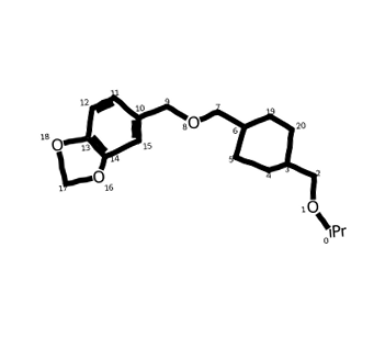 CC(C)OCC1CCC(COCc2ccc3c(c2)OCO3)CC1